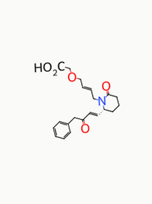 O=C(O)COCC=CCN1C(=O)CCC[C@@H]1C=CC(=O)Cc1ccccc1